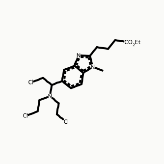 CCOC(=O)CCCc1nc2cc(C(CCl)N(CCCl)CCCl)ccc2n1C